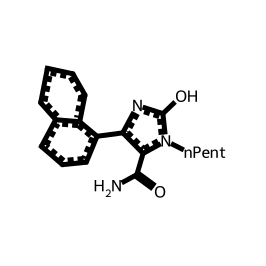 CCCCCn1c(O)nc(-c2cccc3ccccc23)c1C(N)=O